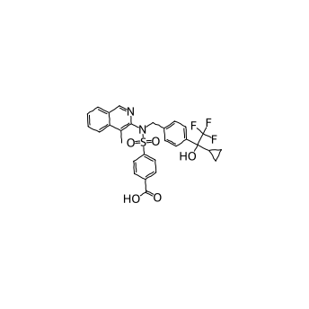 Cc1c(N(Cc2ccc(C(O)(C3CC3)C(F)(F)F)cc2)S(=O)(=O)c2ccc(C(=O)O)cc2)ncc2ccccc12